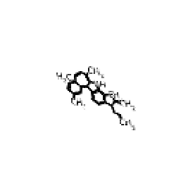 C=C/C=C1\C(=C)Bc2c1ccc1c2BC2=C(C)C=C[C@]3(C)C=CC(C)=CC3=C21